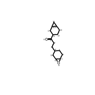 O=C(CCC1CCC2OC2C1)C1CCC2CC2C1